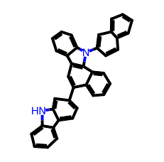 c1ccc2cc(-n3c4ccccc4c4cc(-c5ccc6c(c5)[nH]c5ccccc56)c5ccccc5c43)ccc2c1